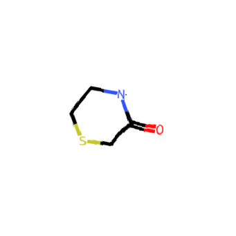 O=C1CSCC[N]1